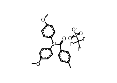 COc1ccc([S+](C(=O)c2ccc(C)cc2)c2ccc(OC)cc2)cc1.O=S(=O)([O-])C(F)(F)F